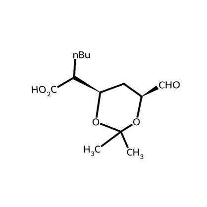 CCCCC(C(=O)O)[C@H]1C[C@@H](C=O)OC(C)(C)O1